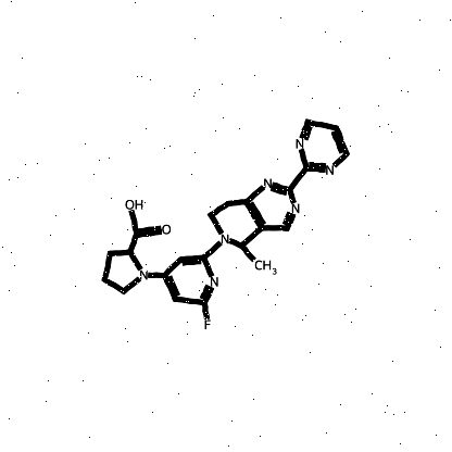 CC1c2cnc(-c3ncccn3)nc2CCN1c1cc(N2CCCC2C(=O)O)cc(F)n1